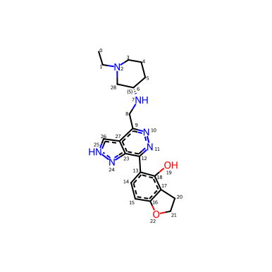 CCN1CCC[C@H](NCc2nnc(-c3ccc4c(c3O)CCO4)c3n[nH]cc23)C1